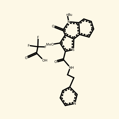 CCCCn1c(=O)c2c(OC)c(C(=O)NCCc3cccnc3)sc2c2ccccc21.O=C(O)C(F)(F)F